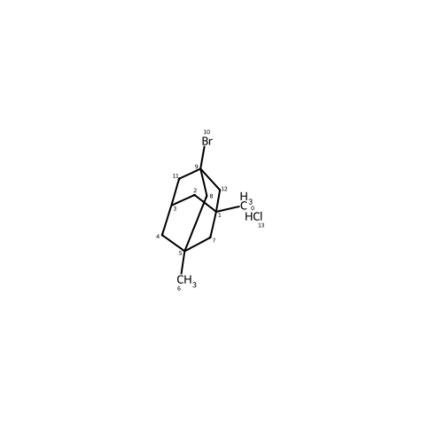 CC12CC3CC(C)(C1)CC(Br)(C3)C2.Cl